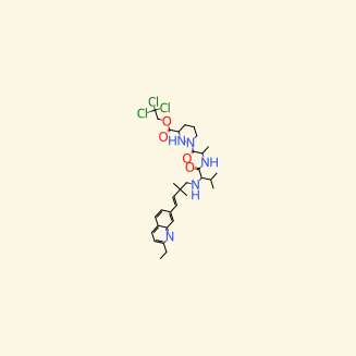 CCc1ccc2ccc(/C=C/C(C)(C)CNC(C(=O)NC(C)C(=O)N3CCCC(C(=O)OCC(Cl)(Cl)Cl)N3)C(C)C)cc2n1